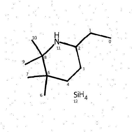 CCC1CCC(C)(C)C(C)(C)N1.[SiH4]